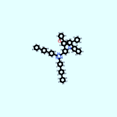 c1ccc(-c2ccc(-c3ccc(-c4nc(-c5ccc(-c6ccc(-c7ccccc7)cc6)cc5)nc(-c5ccc(-n6c7cc8ccccc8cc7c7c(-c8ccccc8)cccc76)c(-c6ccc7c(c6)oc6ccccc67)c5)n4)cc3)cc2)cc1